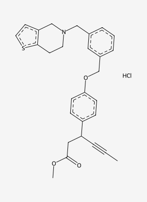 CC#CC(CC(=O)OC)c1ccc(OCc2cccc(CN3CCc4sccc4C3)c2)cc1.Cl